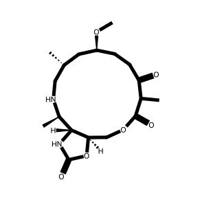 CO[C@H]1CCC(=O)C(C)C(=O)OC[C@H]2OC(=O)N[C@@H]2[C@@H](C)NC[C@H](C)C1